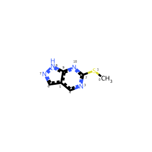 CSc1ncc2cn[nH]c2n1